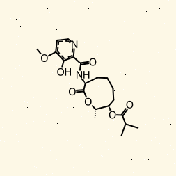 COc1ccnc(C(=O)N[C@H]2CCCC[C@@H](OC(=O)C(C)C)[C@H](C)OC2=O)c1O